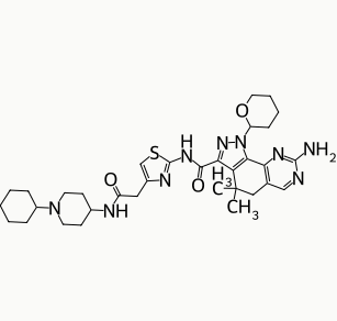 CC1(C)Cc2cnc(N)nc2-c2c1c(C(=O)Nc1nc(CC(=O)NC3CCN(C4CCCCC4)CC3)cs1)nn2C1CCCCO1